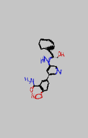 NC(=O)c1cc(-c2cncc(N[C@@H](CO)c3ccccc3)c2)ccc1O